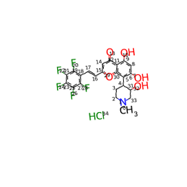 CN1CCC(c2c(O)cc(O)c3c(=O)cc(C=Cc4c(F)c(F)c(F)c(F)c4F)oc23)C(O)C1.Cl